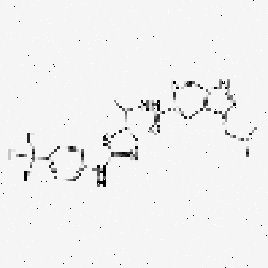 CC(C)Cn1cnc2cnc(C(=O)NC(C)C3CN=C(Nc4ccc(C(F)(F)F)cc4)S3)cc21